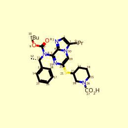 CC(C)c1cnc2c(N(C(=O)OC(C)(C)C)[C@@H](C)c3ccccc3)nc(SC3CCCN(C(=O)O)C3)cn12